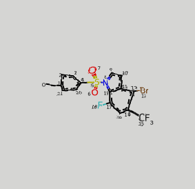 Cc1ccc(S(=O)(=O)n2ccc3c(Br)c(C(F)(F)F)cc(F)c32)cc1